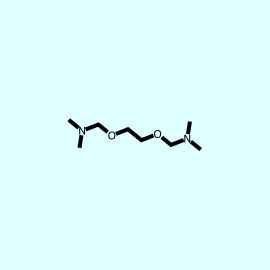 CN(C)COCCOCN(C)C